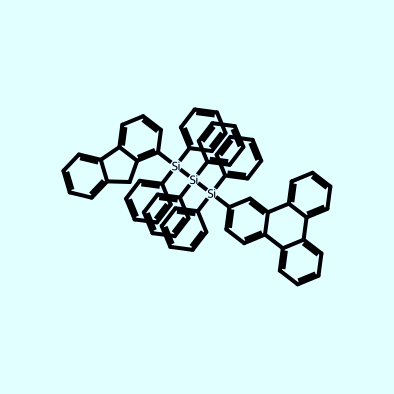 c1ccc([Si](c2ccccc2)(c2ccc3c4ccccc4c4ccccc4c3c2)[Si](c2ccccc2)(c2ccccc2)[Si](c2ccccc2)(c2ccccc2)c2cccc3c2Cc2ccccc2-3)cc1